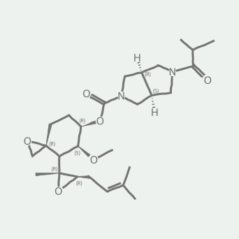 CO[C@H]1C([C@@]2(C)O[C@@H]2CC=C(C)C)[C@]2(CC[C@H]1OC(=O)N1C[C@@H]3CN(C(=O)C(C)C)C[C@@H]3C1)CO2